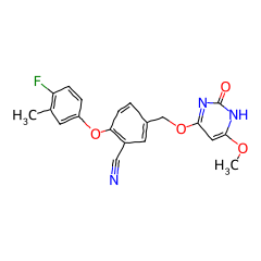 COc1cc(OCc2ccc(Oc3ccc(F)c(C)c3)c(C#N)c2)nc(=O)[nH]1